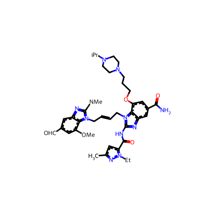 CCn1nc(C)cc1C(=O)Nc1nc2cc(C(N)=O)cc(OCCCN3CCN(C(C)C)CC3)c2n1C/C=C/Cn1c(NC)nc2cc(C=O)cc(OC)c21